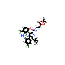 CCC(C)(C)C[C@@H]1N[C@@H](C(=O)NCC[C@H]2COC(C)(C)O2)[C@H](c2cccc(Cl)c2F)[C@@]1(N)c1ccc(Cl)cc1F